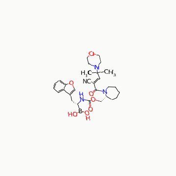 CC(C)(/C=C(\C#N)C(=O)N1CCCCC[C@@H]1COC(=O)N[C@@H](Cc1coc2ccccc12)B(O)O)N1CCOCC1